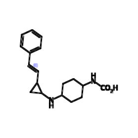 O=C(O)NC1CCC(NC2CC2/C=C/c2ccccc2)CC1